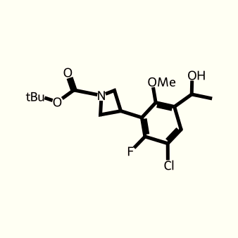 COc1c(C(C)O)cc(Cl)c(F)c1C1CN(C(=O)OC(C)(C)C)C1